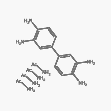 CC(N)=O.CC(N)=O.CC(N)=O.CC(N)=O.Nc1ccc(-c2ccc(N)c(N)c2)cc1N